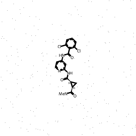 CNC(=O)[C@@H]1C[C@@H]1C(=O)Nc1cc(NC(=O)c2c(Cl)cccc2Cl)ccn1